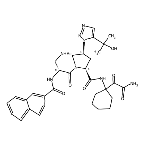 CC(=O)NC[C@@H](NC(=O)c1ccc2ccccc2c1)C(=O)N1C[C@@H](n2nncc2C(C)(C)O)C[C@H]1C(=O)NC1(C(=O)C(N)=O)CCCCC1